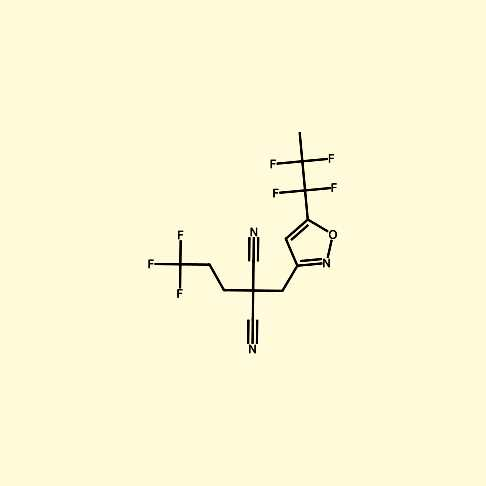 CC(F)(F)C(F)(F)c1cc(CC(C#N)(C#N)CCC(F)(F)F)no1